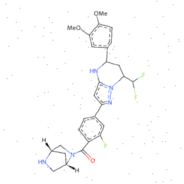 COc1ccc(C2CC(C(F)F)n3nc(-c4ccc(C(=O)N5C[C@@H]6C[C@H]5CN6)c(F)c4)cc3N2)cc1OC